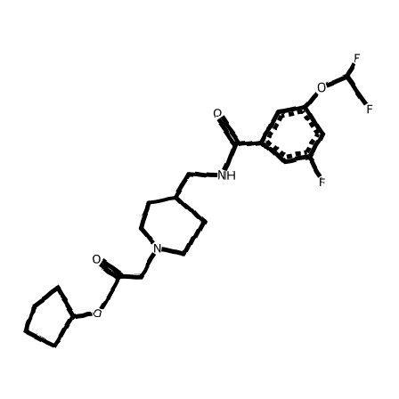 O=C(CN1CCC(CNC(=O)c2cc(F)cc(OC(F)F)c2)CC1)OC1CCCC1